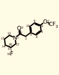 O=C(Cc1ccc(OC(F)(F)F)cc1)N1CCC[C@@H](F)C1